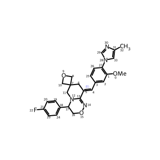 COc1cc(/C=C2\CC3(COC3)CN3C2=NOCC3c2ccc(F)cc2)ccc1-n1cnc(C)c1